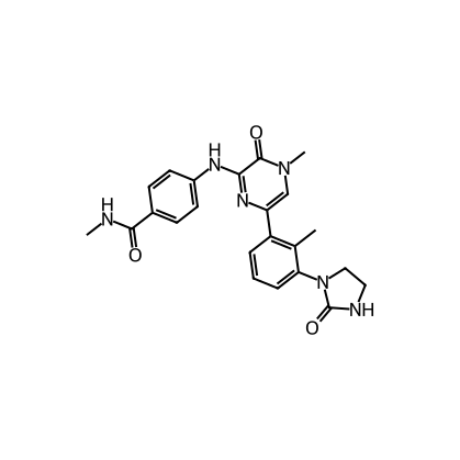 CNC(=O)c1ccc(Nc2nc(-c3cccc(N4CCNC4=O)c3C)cn(C)c2=O)cc1